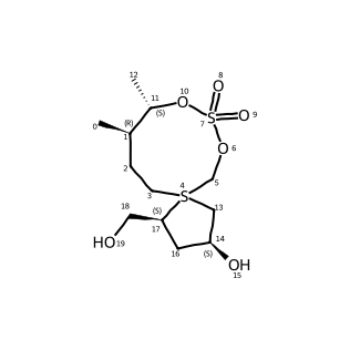 C[C@@H]1CCS2(COS(=O)(=O)O[C@H]1C)C[C@@H](O)C[C@H]2CO